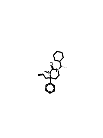 C=CCC1(c2ccccc2)CCN([C@@H](C)C2CCCCC2)C(=O)N1C